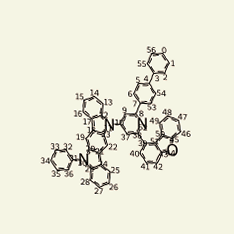 c1ccc(-c2ccc(-c3cc(-n4c5ccccc5c5cc6c(cc54)c4ccccc4n6-c4ccccc4)cc(-c4cccc5oc6ccccc6c45)n3)cc2)cc1